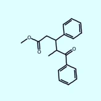 COC(=O)CC(c1ccccc1)C(C)C(=O)c1ccccc1